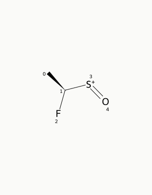 C[C@H](F)[S+]=O